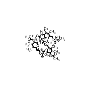 COP(=O)(O)OCC1O[C@H](OP(=O)(OC)OCC2O[C@H](OP(=O)(OC)OCCC3O[C@H](O)C(NC(C)=O)[C@@H](C)[C@@H]3C)C(NC(C)=O)[C@@H](C)[C@@H]2C)C(NC(C)=O)[C@@H](C)[C@@H]1C